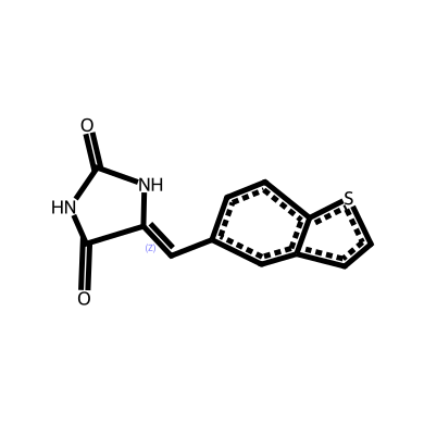 O=C1NC(=O)/C(=C/c2ccc3sccc3c2)N1